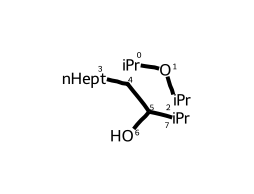 CC(C)OC(C)C.CCCCCCCCC(O)C(C)C